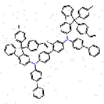 C=Cc1ccc(C2(c3ccc(C)cc3)c3ccccc3-c3ccc(N(c4ccc(-c5ccccc5)cc4)c4ccc(-c5ccc(N(c6ccc(-c7ccccc7)cc6)c6ccc7c(c6)C(c6ccc(C)cc6)(c6ccc(C=C)cc6)c6ccccc6-7)cc5F)cc4)cc32)cc1